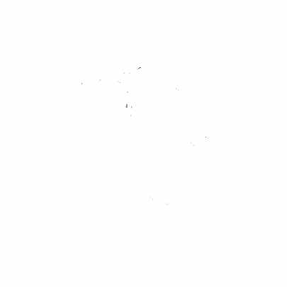 Cn1cc(-c2cc(-c3ccc(N4C[C@@H]5CC[C@@H]4C[C@@H](N)C5)nc3)c3c(C#N)cnn3c2)cn1